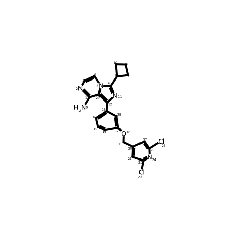 Nc1nccn2c(C3CCC3)nc(-c3cccc(OCc4cc(Cl)nc(Cl)c4)c3)c12